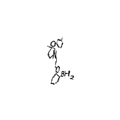 Bc1ccccc1OCCN1CCC(C)(Oc2cccc(C)c2)C1